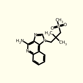 CC(C)(Cn1[c]nc2c(N)nc3ccccc3c21)CS(C)(=O)=O